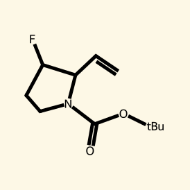 C=CC1C(F)CCN1C(=O)OC(C)(C)C